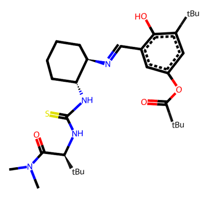 CN(C)C(=O)[C@@H](NC(=S)N[C@@H]1CCCC[C@H]1N=Cc1cc(OC(=O)C(C)(C)C)cc(C(C)(C)C)c1O)C(C)(C)C